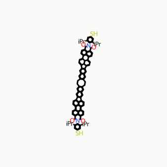 CC(C)c1cc(S)cc(C(C)C)c1N1C(=O)c2ccc3c4c(ccc(c24)C1=O)C1=CC=C2c4cc5cc6c(cc5cc4C4=CC=C3C1C42)CCc1cc2cc3c(cc2cc1CC6)-c1ccc2c4ccc5c6c(ccc(c7ccc-3c1c72)c64)C(=O)N(c1c(C(C)C)cc(S)cc1C(C)C)C5=O